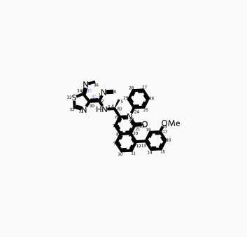 C=N/C(N[C@@H](C)c1cc2cccc(-c3cccc(OC)c3)c2c(=O)n1-c1ccccc1)=C1/N=CS/C1=N/C